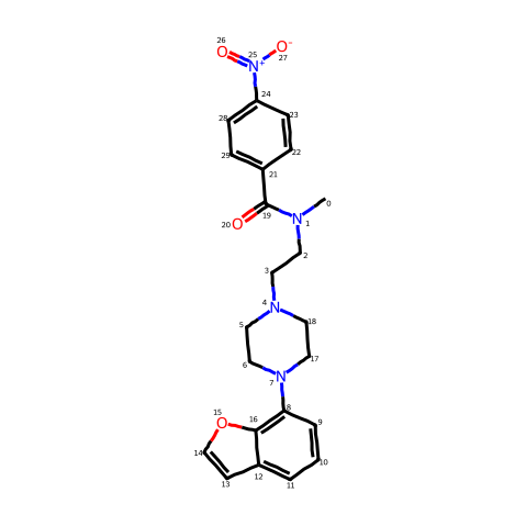 CN(CCN1CCN(c2cccc3ccoc23)CC1)C(=O)c1ccc([N+](=O)[O-])cc1